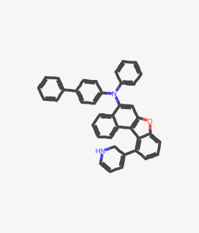 C1=CNCC(c2cccc3oc4cc(N(c5ccccc5)c5ccc(-c6ccccc6)cc5)c5ccccc5c4c23)=C1